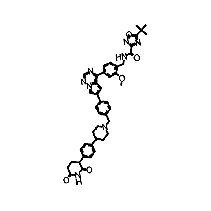 COc1cc(-c2ncnn3cc(-c4ccc(CN5CCC(c6ccc(C7CCC(=O)NC7=O)cc6)CC5)cc4)cc23)ccc1CNC(=O)c1noc(C(C)(C)C)n1